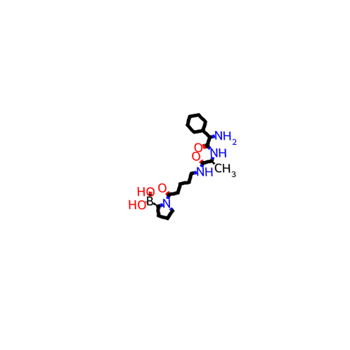 C[C@H](NC(=O)C(N)C1CCCCC1)C(=O)NCCCCC(=O)N1CCC[C@H]1B(O)O